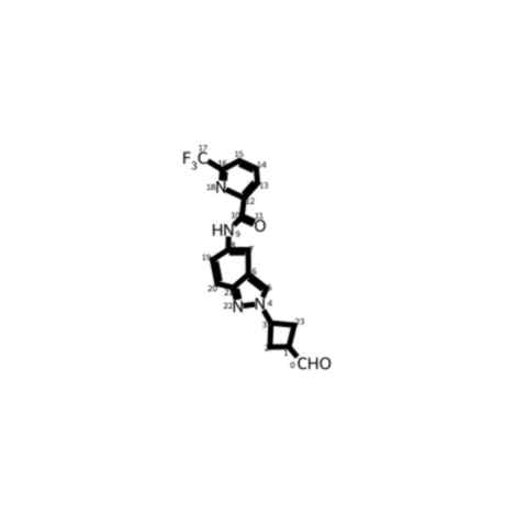 O=CC1CC(n2cc3cc(NC(=O)c4cccc(C(F)(F)F)n4)ccc3n2)C1